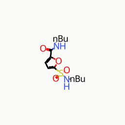 CCCCNC(=O)c1ccc(S(=O)(=O)NCCCC)o1